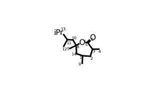 CC1CC(C)C(=O)OC(C)(CC(C)C(C)C)C1